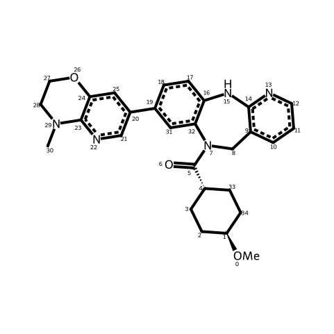 CO[C@H]1CC[C@H](C(=O)N2Cc3cccnc3Nc3ccc(-c4cnc5c(c4)OCCN5C)cc32)CC1